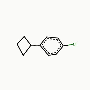 Clc1ccc([C]2CCC2)cc1